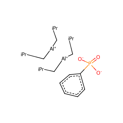 CC(C)[CH2][Al+][CH2]C(C)C.CC(C)[CH2][Al+][CH2]C(C)C.O=P([O-])([O-])c1ccccc1